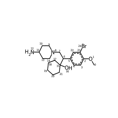 COc1ccc(C(CN2CCC(N)CC2)C2(O)CCCCC2)cc1Br